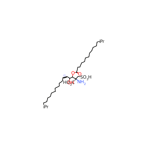 CC(C)CCCCCCCCCC/C=C\C(O)C(OC(=O)CCCCCCCCCCCC(C)C)C(N)(CS(=O)(=O)O)C(=O)O